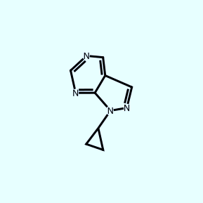 c1ncc2cnn(C3CC3)c2n1